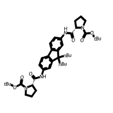 CCCCC1(CCCC)c2cc(NC(=O)[C@@H]3CCCN3C(=O)OC(C)(C)C)ccc2-c2ccc(NC(=O)[C@@H]3CCCN3C(=O)OC(C)(C)C)cc21